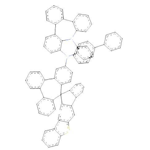 c1ccc(-c2ccc(N(c3ccc4c(c3)-c3ccccc3-c3ccccc3C43c4ccccc4-c4cc5sc6ccccc6c5cc43)c3cccc4c3N(c3ccccc3)c3ccccc3-c3ccccc3-4)cc2)cc1